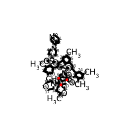 Cc1cc(C)c(S(=O)(=O)N2CCC(N3CCOCC3)CC2)c(CCc2cc(C)cc(CCc3cc(C)cc(C)c3S(=O)(=O)N3CCN(C4CN5CCC4CC5)CC3)c2S(=O)(=O)N2CCC(N3CCC(C)OC3)CC2)c1